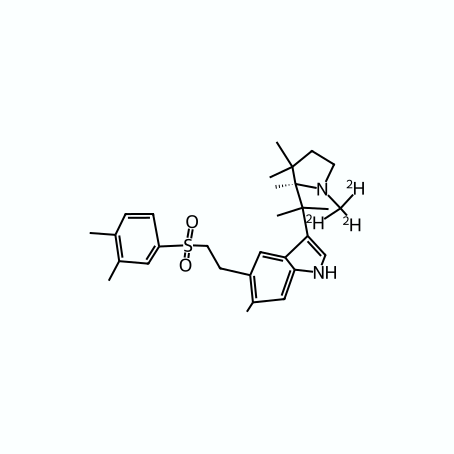 [2H]C([2H])([2H])N1CCC(C)(C)[C@]1(C)C(C)(C)c1c[nH]c2cc(C)c(CCS(=O)(=O)c3ccc(C)c(C)c3)cc12